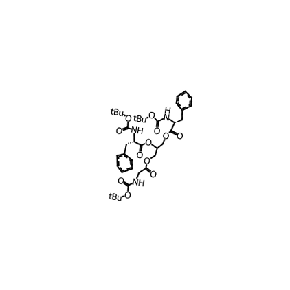 CC(C)(C)OC(=O)NCC(=O)OCC(COC(=O)[C@H](Cc1ccccc1)NC(=O)OC(C)(C)C)OC(=O)[C@H](Cc1ccccc1)NC(=O)OC(C)(C)C